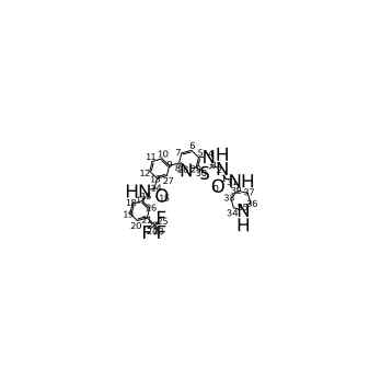 O=C(Nc1nc2ccc(-c3cccc(C(=O)Nc4cccc(C(F)(F)F)c4)c3)nc2s1)NC1CCNCC1